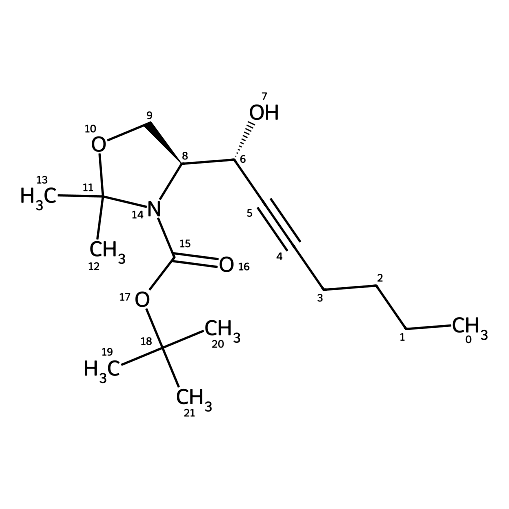 CCCCC#C[C@@H](O)[C@@H]1COC(C)(C)N1C(=O)OC(C)(C)C